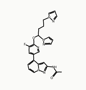 CC(=O)Nc1cc2c(-c3cnc(OC(CCCn4cccn4)n4cccn4)c(F)c3)cccn2n1